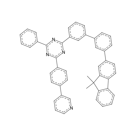 CC1(C)c2ccccc2-c2ccc(-c3cccc(-c4cccc(-c5nc(-c6ccccc6)nc(-c6ccc(-c7cccnc7)cc6)n5)c4)c3)cc21